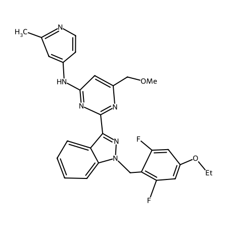 CCOc1cc(F)c(Cn2nc(-c3nc(COC)cc(Nc4ccnc(C)c4)n3)c3ccccc32)c(F)c1